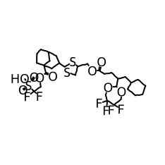 O=C(CCC(CC1CCCCC1)C1OCC(F)(F)C(F)(F)CO1)OCC1CSC(C2CC3CCCC(C(=O)OCC(F)(F)S(=O)(=O)O)(C3)C2)S1